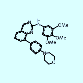 COc1cc(Nc2ncc3cccc(-c4ccc(N5CCOCC5)cc4)c3n2)cc(OC)c1OC